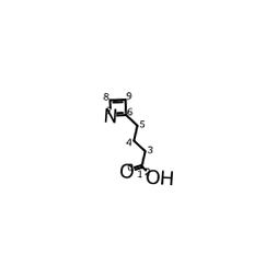 O=C(O)CCCC1=NC=C1